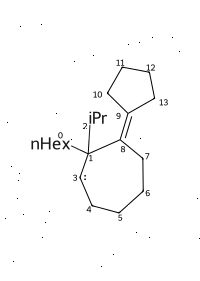 CCCCCCC1(C(C)C)[C]CCCCC1=C1CCCC1